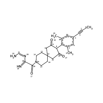 CC#Cc1cc(C)c(C2C(=O)CC3(CCN(C(=O)C(=N)/N=C\N)CC3)CC2=O)c(C)c1